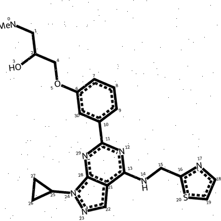 CNCC(O)COc1cccc(-c2nc(NCc3nccs3)c3cnn(C4CC4)c3n2)c1